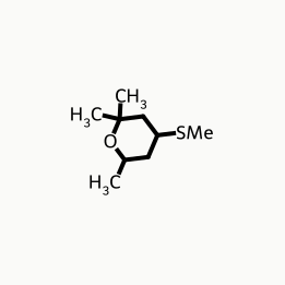 CSC1CC(C)OC(C)(C)C1